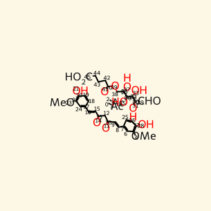 CC(C)=O.CC(C)=O.COc1cc(C=CC(=O)CC(=O)C=Cc2ccc(O)c(OC)c2)ccc1O.O=C[C@H](O)[C@@H](O)[C@H](O)[C@H](O)COC(=O)CCCC(=O)O